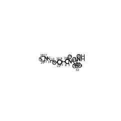 CC(CCn1ccc(-c2ccc(OCCCN3CCSCC3)cc2)cc1=O)(C(=O)NO)S(C)(=O)=O